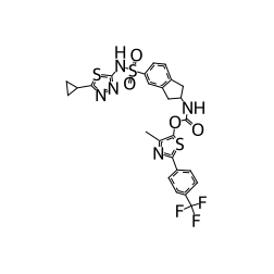 Cc1nc(-c2ccc(C(F)(F)F)cc2)sc1OC(=O)NC1Cc2ccc(S(=O)(=O)Nc3nnc(C4CC4)s3)cc2C1